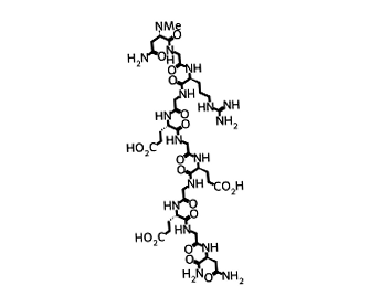 CN[C@@H](CC(N)=O)C(=O)NCC(=O)N[C@@H](CCCNC(=N)N)C(=O)NCC(=O)N[C@@H](CCC(=O)O)C(=O)NCC(=O)N[C@@H](CCC(=O)O)C(=O)NCC(=O)N[C@@H](CCC(=O)O)C(=O)NCC(=O)N[C@@H](CC(N)=O)C(N)=O